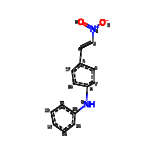 O=[N+]([O-])C=Cc1ccc(Nc2ccccc2)cc1